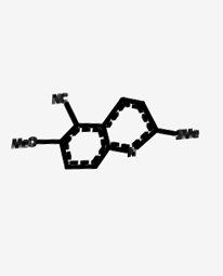 COc1ccc2nc(SC)ccc2c1C#N